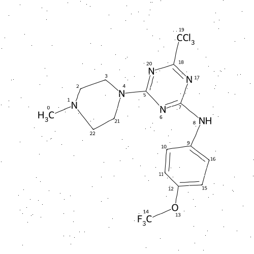 CN1CCN(c2nc(Nc3ccc(OC(F)(F)F)cc3)nc(C(Cl)(Cl)Cl)n2)CC1